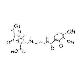 CC(O)C1C(=O)N2C(C(=O)O)=C(CN(C)CCCNC(=O)c3ccc(O)c(O)c3Cl)C(C)[C@H]12